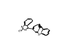 Clc1nc(-c2ccc3c(c2)sc2ccccc23)c2ccccc2n1